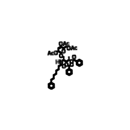 CC(=O)OCC1OC(OC[C@H](NC(=O)CCCCCCCc2ccccc2)[C@H](OC(=O)c2ccccc2)[C@@H](C)OC(=O)c2ccccc2)C(OC(C)=O)C=C1OC(C)=O